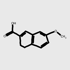 COc1ccc2c(c1)C=C(C(=O)O)CC2